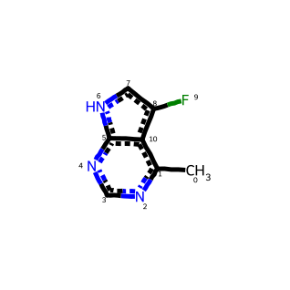 Cc1ncnc2[nH]cc(F)c12